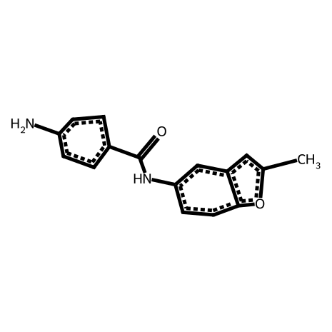 Cc1cc2cc(NC(=O)c3ccc(N)cc3)ccc2o1